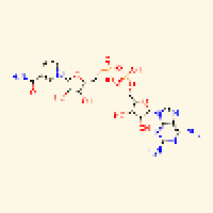 NC(=O)c1ccc[n+](C2OC(COP(=O)(O)OP(=O)(O)OCC3OC(n4cnc5c(N)nc(N)nc54)C(O)C3O)C(O)C2O)c1